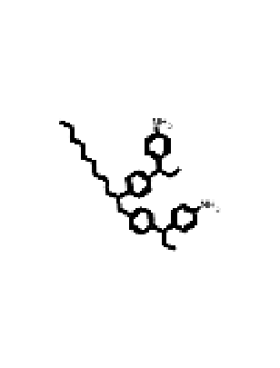 CCCCCCCCCC(Cc1ccc(C(CC)c2ccc(N)cc2)cc1)c1ccc(C(CC)c2ccc(N)cc2)cc1